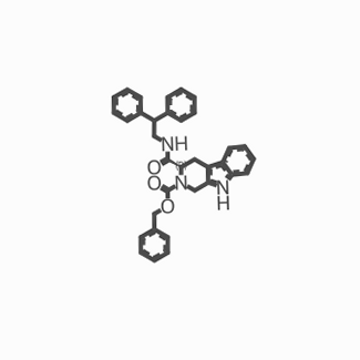 O=C(NCC(c1ccccc1)c1ccccc1)[C@H]1Cc2c([nH]c3ccccc23)CN1C(=O)OCc1ccccc1